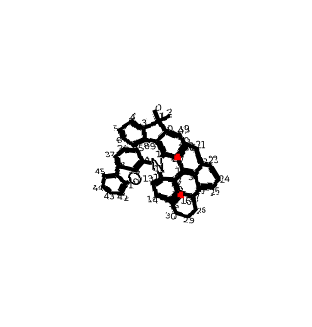 CC1(C)c2ccccc2-c2c(N(c3ccccc3-c3cccc4cccc(C5CCCCC5)c34)c3cccc4c3oc3ccccc34)cccc21